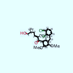 CCOC(=O)/C(=C\C[C@H](CO)C(C)C)C(=O)c1cc(Cc2cccc(Cl)c2F)c(OC)cc1OC